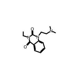 CCn1c(=O)c2ccccc2n(CCN(C)C)c1=O